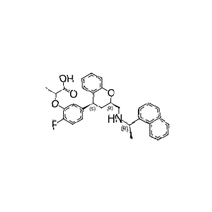 CC(Oc1cc([C@@H]2C[C@H](CN[C@H](C)c3cccc4ccccc34)Oc3ccccc32)ccc1F)C(=O)O